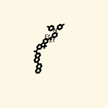 CCC(CC)(c1cccc(N(c2ccc(C)cc2)c2ccc(C)cc2)c1)c1ccc2c(c1)C(C)(C)c1cc(C(C)c3ccc4cc(-c5ccc6ccccc6c5)ccc4c3)ccc1-2